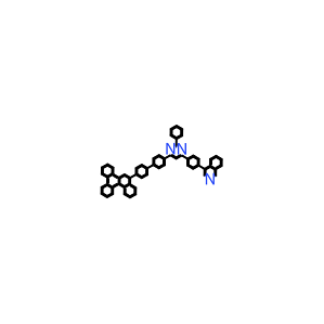 c1ccc(-c2nc(-c3ccc(-c4ccc(-c5cc6c7ccccc7c7ccccc7c6c6ccccc56)cc4)cc3)cc(-c3ccc(-c4cncc5ccccc45)cc3)n2)cc1